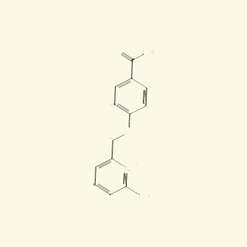 O=C(O)c1ccc(OCc2cccc(F)n2)cc1